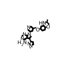 CC1COc2ccc(OCc3cncc(-n4cc(-c5ccn(C)n5)c5c(N)ncnc54)c3)cc2N1